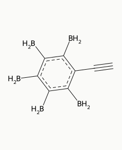 Bc1c(B)c(B)c(C#C)c(B)c1B